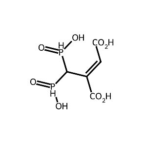 O=C(O)C=C(C(=O)O)C([PH](=O)O)[PH](=O)O